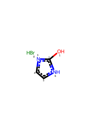 Br.Oc1ncc[nH]1